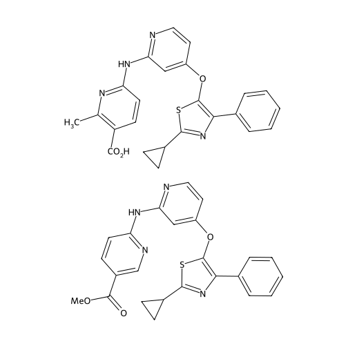 COC(=O)c1ccc(Nc2cc(Oc3sc(C4CC4)nc3-c3ccccc3)ccn2)nc1.Cc1nc(Nc2cc(Oc3sc(C4CC4)nc3-c3ccccc3)ccn2)ccc1C(=O)O